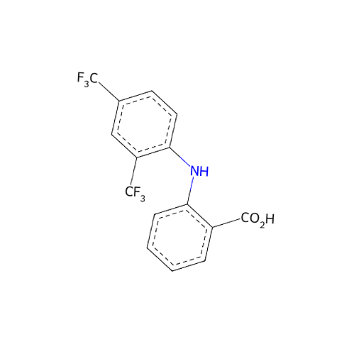 O=C(O)c1ccccc1Nc1ccc(C(F)(F)F)cc1C(F)(F)F